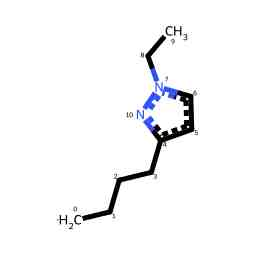 [CH2]CCCc1ccn(CC)n1